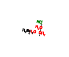 Cl.O.O.O.[RaH2]